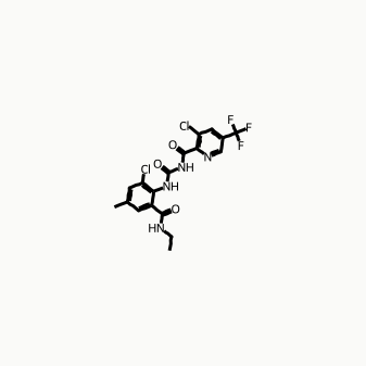 CCNC(=O)c1cc(C)cc(Cl)c1NC(=O)NC(=O)c1ncc(C(F)(F)F)cc1Cl